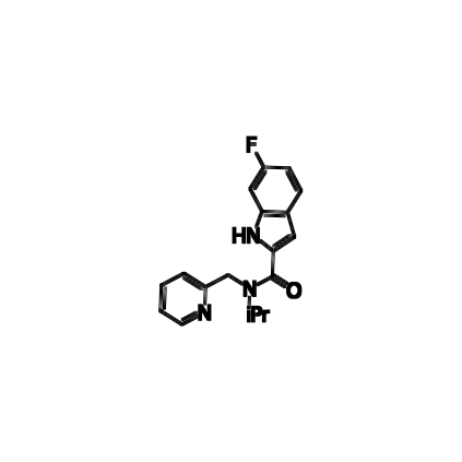 CC(C)N(Cc1ccccn1)C(=O)c1cc2ccc(F)cc2[nH]1